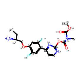 CC(C)C[C@](C)(N)COc1cc(F)c(-c2ccnc(OC(=O)N(C)C(=O)OC(C)(C)C)n2)cc1F